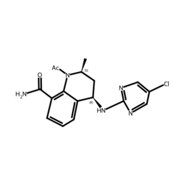 CC(=O)N1c2c(C(N)=O)cccc2[C@H](Nc2ncc(Cl)cn2)C[C@@H]1C